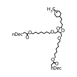 CCCCCCCCCCCC(=O)OCCCCCCCOCC1OC(CCCC2CCN(C)CC2)OC1COCCCCCCCOC(=O)CCCCCCCCCCC